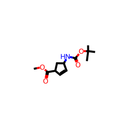 COC(=O)C1C=CC(NC(=O)OC(C)(C)C)C1